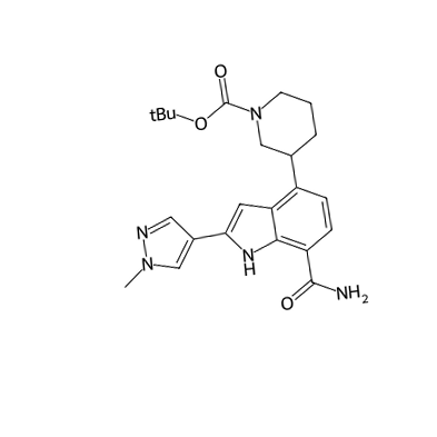 Cn1cc(-c2cc3c(C4CCCN(C(=O)OC(C)(C)C)C4)ccc(C(N)=O)c3[nH]2)cn1